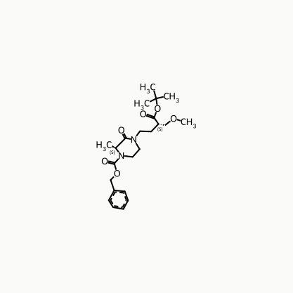 COC[C@H](CCN1CCN(C(=O)OCc2ccccc2)[C@@H](C)C1=O)C(=O)OC(C)(C)C